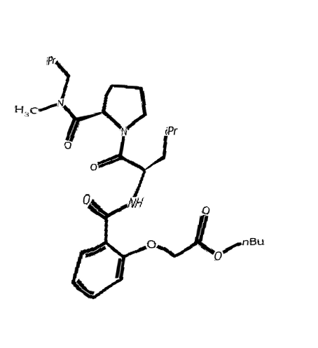 CCCCOC(=O)COc1ccccc1C(=O)N[C@H](CC(C)C)C(=O)N1CCC[C@@H]1C(=O)N(C)CC(C)C